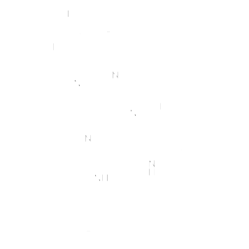 Fc1ccccc1Nc1nc2nc(C(F)(F)F)[nH]c2nc1Nc1ccccc1F